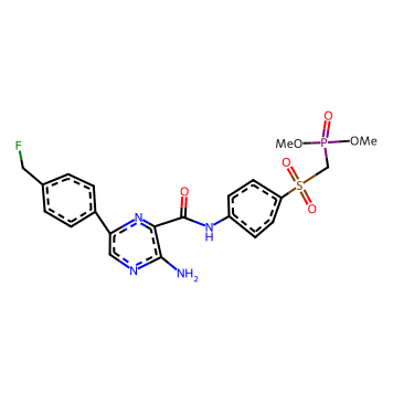 COP(=O)(CS(=O)(=O)c1ccc(NC(=O)c2nc(-c3ccc(CF)cc3)cnc2N)cc1)OC